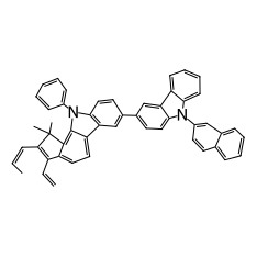 C=CC1=C(/C=C\C)C(C)(C)c2c1ccc1c3cc(-c4ccc5c(c4)c4ccccc4n5-c4ccc5ccccc5c4)ccc3n(-c3ccccc3)c21